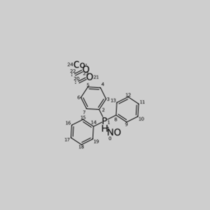 O=N[PH](c1ccccc1)(c1ccccc1)c1ccccc1.[C]=O.[C]=O.[Co]